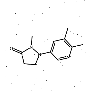 Cc1ccc(N2CCC(=O)N2C)cc1C